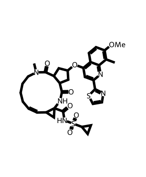 COc1ccc2c(OC3CC4C(=O)NC5(C(=O)NS(=O)(=O)C6CC6)CC5/C=C\CCCCN(C)C(=O)C4C3)cc(-c3nccs3)nc2c1C